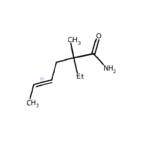 C/C=C/CC(C)(CC)C(N)=O